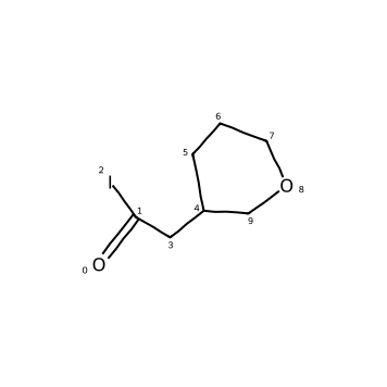 O=C(I)CC1CCCOC1